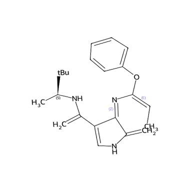 C=C(N[C@@H](C)C(C)(C)C)C1=CNC(=C)/C1=N\C(=C/C)Oc1ccccc1